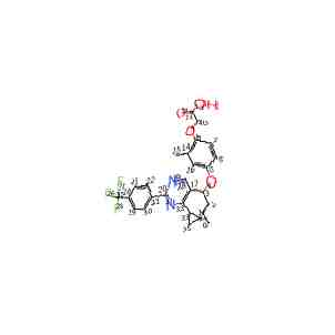 CCCC(Oc1ccc(OCC(=O)O)c(C)c1)c1cnc(-c2ccc(C(F)(F)F)cc2)nc1C1CC1